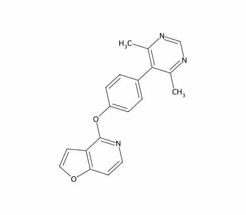 Cc1ncnc(C)c1-c1ccc(Oc2nccc3occc23)cc1